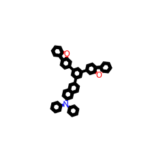 c1ccc(N(c2ccccc2)c2ccc3cc(-c4cc(-c5ccc6c(c5)oc5ccccc56)cc(-c5ccc6c(c5)oc5ccccc56)c4)ccc3c2)cc1